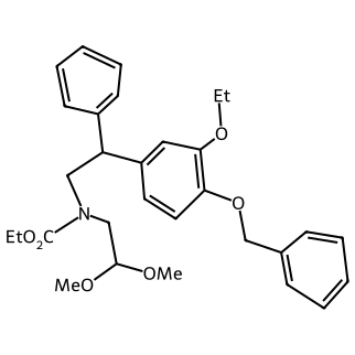 CCOC(=O)N(CC(OC)OC)CC(c1ccccc1)c1ccc(OCc2ccccc2)c(OCC)c1